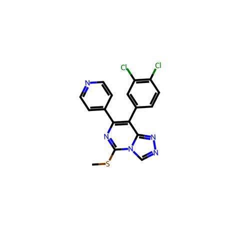 CSc1nc(-c2ccncc2)c(-c2ccc(Cl)c(Cl)c2)c2nncn12